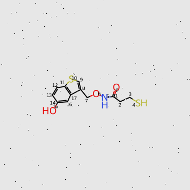 O=C(CCS)NOCc1csc2ccc(O)cc12